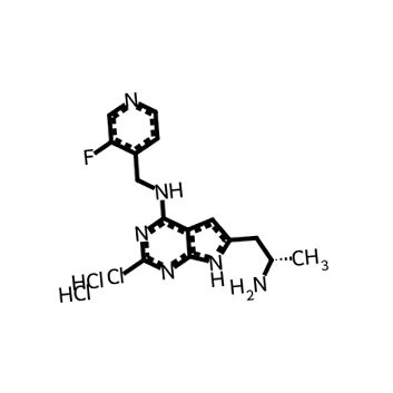 C[C@H](N)Cc1cc2c(NCc3ccncc3F)nc(Cl)nc2[nH]1.Cl.Cl